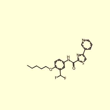 CCCCCOc1ccc(NC(=O)c2nc(-c3cccnc3)cs2)cc1C(F)F